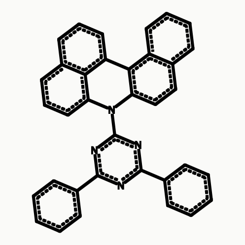 c1ccc(-c2nc(-c3ccccc3)nc(N3c4ccc5ccccc5c4-c4cccc5cccc3c45)n2)cc1